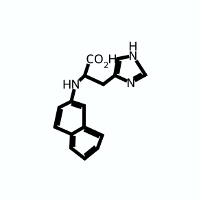 O=C(O)C(Cc1c[nH]cn1)Nc1ccc2ccccc2c1